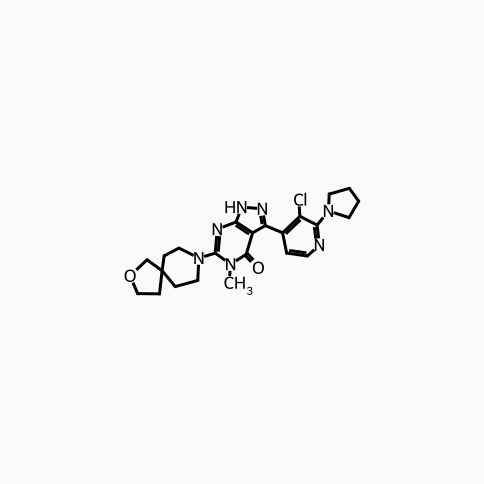 Cn1c(N2CCC3(CCOC3)CC2)nc2[nH]nc(-c3ccnc(N4CCCC4)c3Cl)c2c1=O